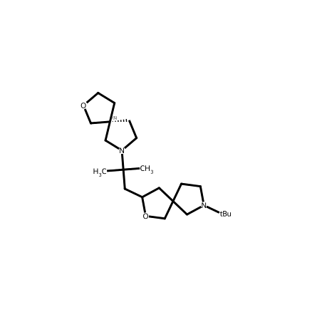 CC(C)(C)N1CCC2(COC(CC(C)(C)N3CC[C@]4(CCOC4)C3)C2)C1